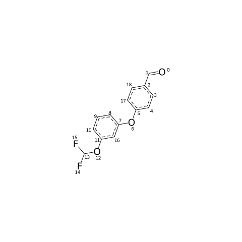 O=Cc1ccc(Oc2cccc(OC(F)F)c2)cc1